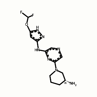 N[C@@H]1CCCN(c2cncc(Nc3cc(OC(F)F)[nH]n3)n2)C1